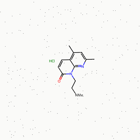 CNCCn1c(=O)ccc2c(C)cc(C)nc21.Cl